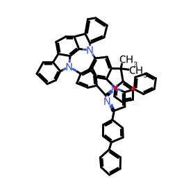 CC1(C)c2ccccc2-c2ccc(-n3c4ccccc4c4ccc5c6ccccc6n(-c6ccc(-c7nc(-c8ccccc8)cc(-c8ccc(-c9ccccc9)cc8)n7)cc6)c5c43)cc21